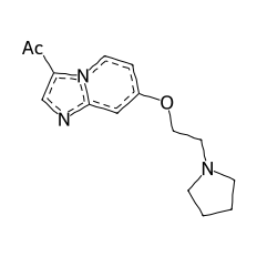 CC(=O)c1cnc2cc(OCCN3CCCC3)ccn12